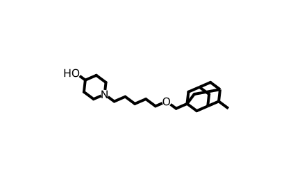 CC1C2CC3CC1CC(COCCCCCN1CCC(O)CC1)(C3)C2